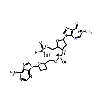 CN/C=N\c1c(C=O)ncn1C1C[C@H](OP(=O)(O)OCC2CCC(n3cnc4c(N)ncnc43)O2)C(COP(=O)(O)O)O1